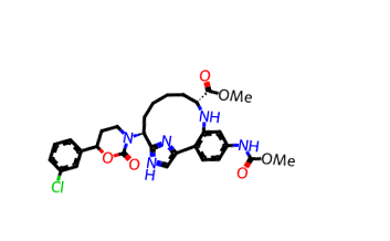 COC(=O)Nc1ccc2c(c1)N[C@@H](C(=O)OC)CCCC[C@H](N1CCC(c3cccc(Cl)c3)OC1=O)c1nc-2c[nH]1